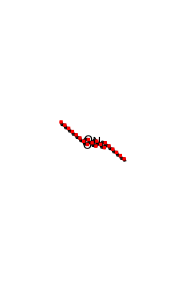 CCCCCCCCCCCCC1COC(c2ccc(-c3ccc(CCCCCCCCCC)cc3)nc2)OC1